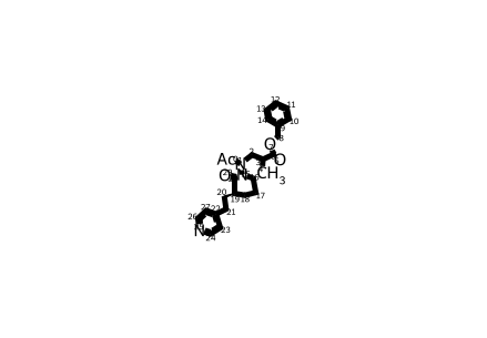 CC(=O)N(CC(C)C(=O)OCc1ccccc1)N1CCC[C@@H](CCc2ccncc2)C1=O